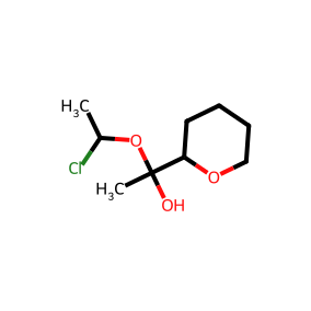 CC(Cl)OC(C)(O)C1CCCCO1